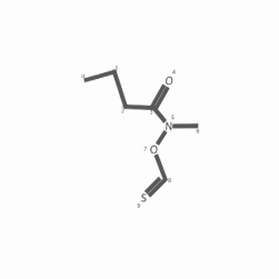 CC[CH]C(=O)N(C)OC=S